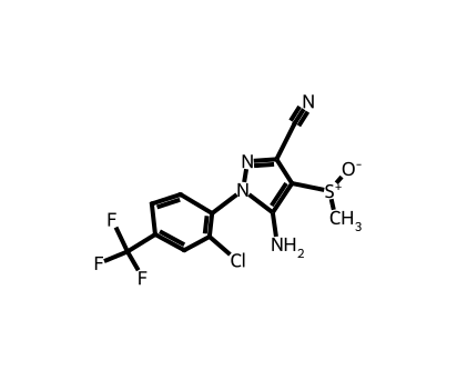 C[S+]([O-])c1c(C#N)nn(-c2ccc(C(F)(F)F)cc2Cl)c1N